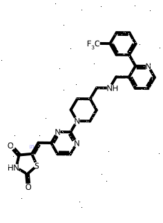 O=C1NC(=O)/C(=C/c2ccnc(N3CCC(CNCc4cccnc4-c4cccc(C(F)(F)F)c4)CC3)n2)S1